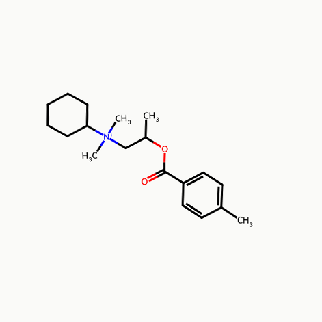 Cc1ccc(C(=O)OC(C)C[N+](C)(C)C2CCCCC2)cc1